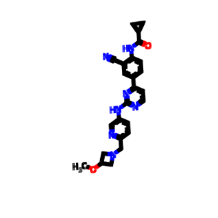 COC1CN(Cc2ccc(Nc3nccc(-c4ccc(NC(=O)C5CC5)c(C#N)c4)n3)cn2)C1